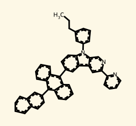 CCCc1cccc(-n2c3ccc(-c4c5ccccc5c(-c5ccc6ccccc6c5)c5ccccc45)cc3c3cc(-c4ccccn4)ncc32)c1